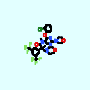 CN(C(=O)C(C)(CN1CCOCC1)c1cc(C(F)(F)F)cc(C(F)(F)F)c1)c1cnc(N2CCOCC2)nc1Oc1ccccc1Cl